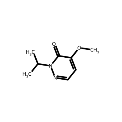 COc1ccnn(C(C)C)c1=O